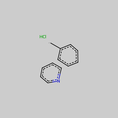 Cl.[CH2]c1ccccc1.c1ccncc1